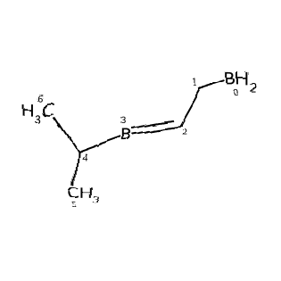 BC/C=B\C(C)C